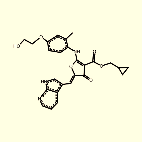 Cc1cc(OCCO)ccc1NC1=C(C(=O)OCC2CC2)C(=O)C(=Cc2c[nH]c3ncccc23)O1